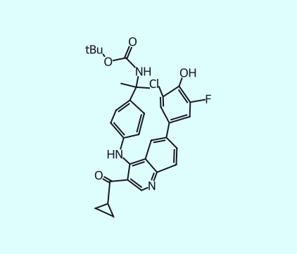 CC(C)(C)OC(=O)NC(C)(C)c1ccc(Nc2c(C(=O)C3CC3)cnc3ccc(-c4cc(F)c(O)c(Cl)c4)cc23)cc1